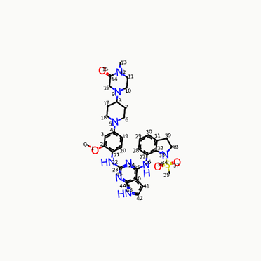 COc1cc(N2CCC(N3CCN(C)C(=O)C3)CC2)ccc1Nc1nc(Nc2cccc3c2N(S(C)(=O)=O)CC3)c2cc[nH]c2n1